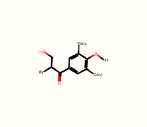 COc1cc(C(=O)C(CO)C(C)C)cc(OC)c1OC(C)C